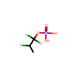 CC(Cl)C(Cl)(Cl)OP(=O)(O)O